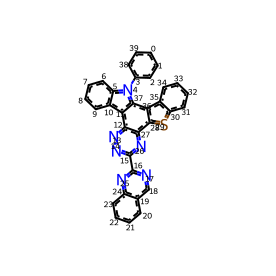 c1ccc(-n2c3ccccc3c3c4nnc(-c5ncc6ccccc6n5)nc4c4sc5ccccc5c4c32)cc1